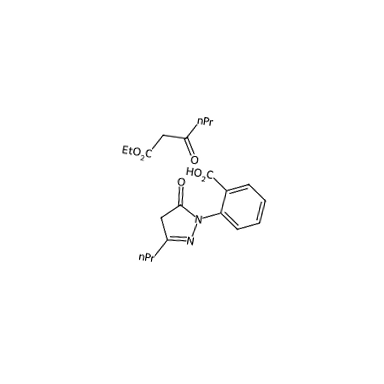 CCCC(=O)CC(=O)OCC.CCCC1=NN(c2ccccc2C(=O)O)C(=O)C1